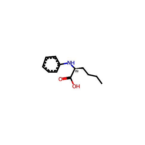 CCCC[C@H](Nc1ccccc1)C(=O)O